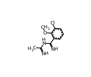 COc1c(Cl)cccc1C(=N)NC(C)=N